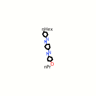 CCCCCCc1ccc(N=Nc2ccc(N=Nc3ccc(OCCC)cc3)cc2)cc1